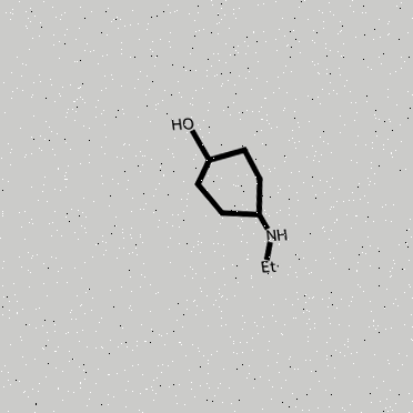 C[CH]NC1CCC(O)CC1